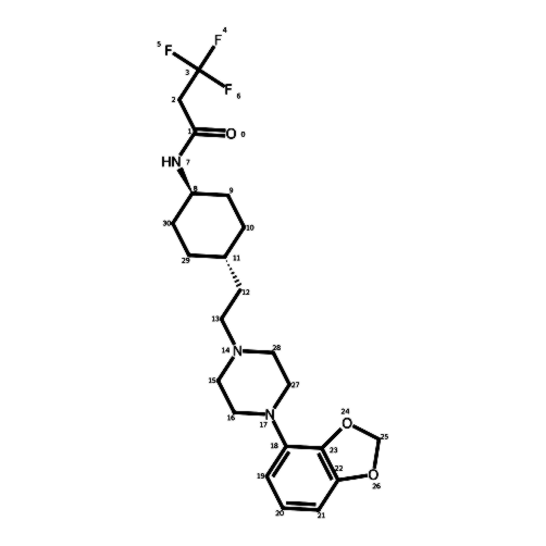 O=C(CC(F)(F)F)N[C@H]1CC[C@H](CCN2CCN(c3cccc4c3OCO4)CC2)CC1